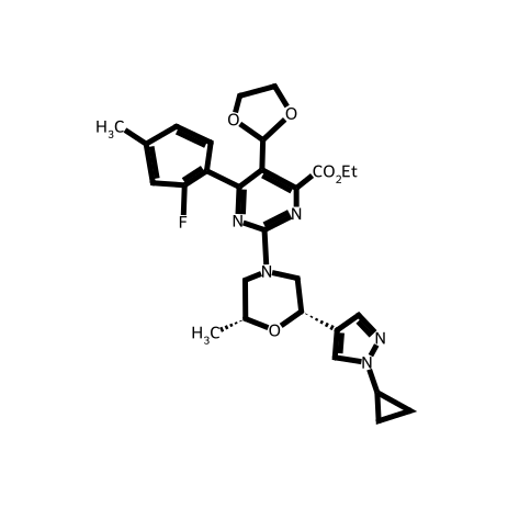 CCOC(=O)c1nc(N2C[C@@H](C)O[C@@H](c3cnn(C4CC4)c3)C2)nc(-c2ccc(C)cc2F)c1C1OCCO1